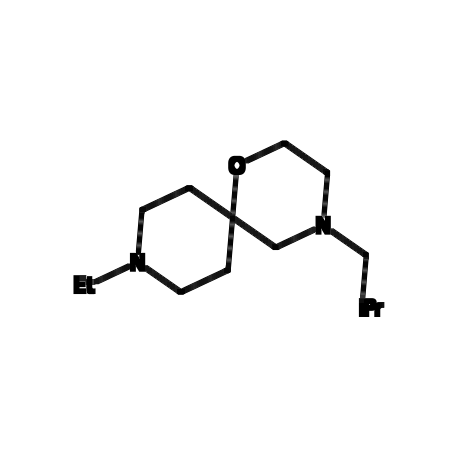 CCN1CCC2(CC1)CN(CC(C)C)CCO2